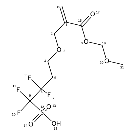 C=C(COCCC(F)(F)C(F)(F)S(=O)(=O)O)C(=O)OCOC